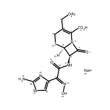 CC(=O)OCC1=C(C(=O)O)N2C(=O)[C@@H](NC(=O)C(=NO)c3c[se]c(N)n3)[C@H]2SC1.[NaH]